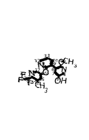 COc1ncc(O)cc1-c1cccnc1Oc1cnc(C(F)(F)F)c(C)c1